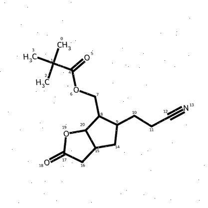 CC(C)(C)C(=O)OCC1C(CCC#N)CC2CC(=O)OC21